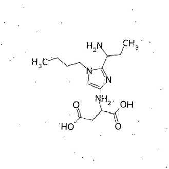 CCCCn1ccnc1C(N)CC.NC(CC(=O)O)C(=O)O